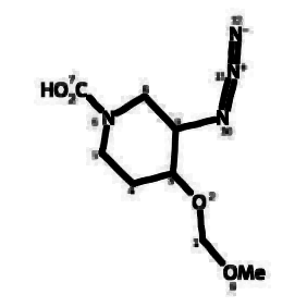 COCOC1CCN(C(=O)O)CC1N=[N+]=[N-]